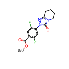 CC(C)(C)OC(=O)c1cc(F)c(-n2nc3n(c2=O)CCCC3)cc1F